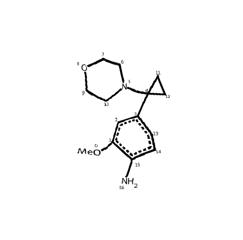 COc1cc(C2(N3CCOCC3)CC2)ccc1N